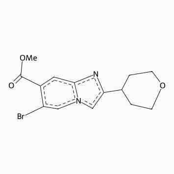 COC(=O)c1cc2nc(C3CCOCC3)cn2cc1Br